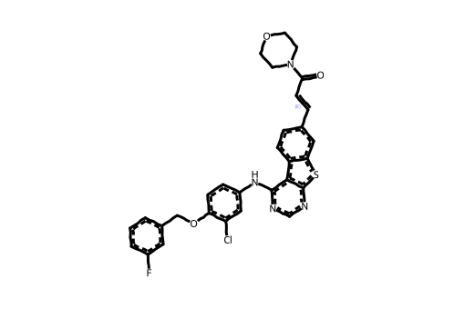 O=C(/C=C/c1ccc2c(c1)sc1ncnc(Nc3ccc(OCc4cccc(F)c4)c(Cl)c3)c12)N1CCOCC1